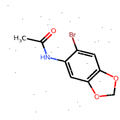 CC(=O)Nc1cc2c(cc1Br)OCO2